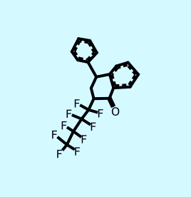 O=C1c2ccccc2C(c2ccccc2)CC1C(F)(F)C(F)(F)C(F)(F)C(F)(F)F